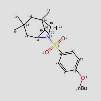 CCCCOc1ccc(S(=O)(=O)N2CC3(C)CC(C)(C)CC2[C@@H]3C)cc1